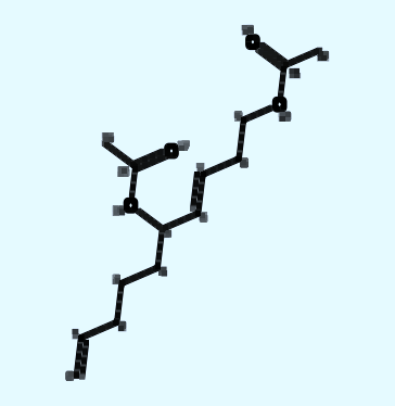 C=CCCCC(C=CCCOC(C)=O)OC(C)=O